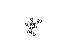 c1ccc(-c2ccc3c(-n4c5ccccc5c5cc6ccccc6cc54)cc(-c4ccccc4)c(-c4nc(-c5ccc6c(c5)oc5ccccc56)nc(-c5cccc6ccccc56)n4)c3c2)cc1